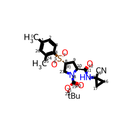 Cc1ccc(S(=O)(=O)[C@@H]2C[C@@H](C(=O)NC3(C#N)CC3)N(C(=O)OC(C)(C)C)C2)c(C)c1